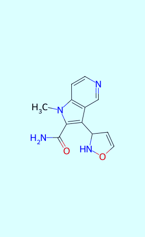 Cn1c(C(N)=O)c(C2C=CON2)c2cnccc21